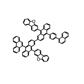 c1ccc2c(-c3ccc(-c4c5ccccc5c(-c5ccc6c(c5)oc5ccccc56)c5cc(-c6ccc7c(-c8cc9ccccc9c9ccccc89)c8ccccc8c(-c8ccc9c(c8)oc8ccccc89)c7c6)ccc45)cc3)cccc2c1